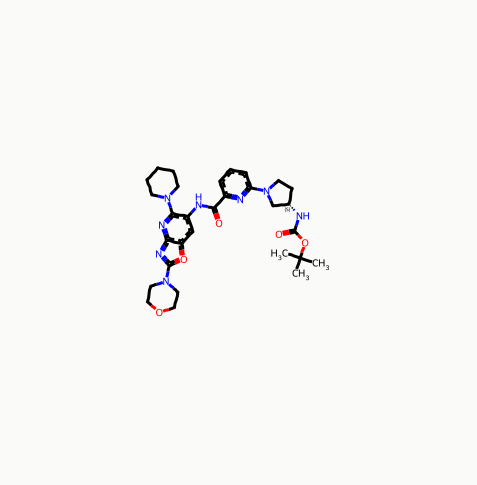 CC(C)(C)OC(=O)N[C@H]1CCN(c2cccc(C(=O)Nc3cc4oc(N5CCOCC5)nc4nc3N3CCCCC3)n2)C1